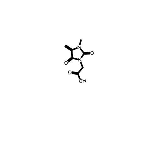 C=C1C(=O)N(CC(=O)O)C(=O)N1C